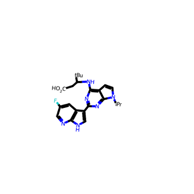 CC(C)n1ccc2c(NC(CC(=O)O)C(C)(C)C)nc(-c3c[nH]c4ncc(F)cc34)nc21